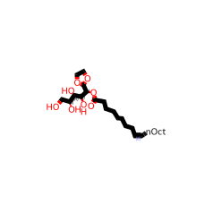 CCCCCCCC/C=C\CCCCCCCC(=O)O[C@H](C1OCCO1)[C@@H](O)[C@H](O)[C@H](O)CO